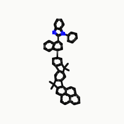 CC1(C)c2cc(-c3ccc(-c4nc5ccccc5n4-c4ccccc4)c4ccccc34)ccc2-c2cc3c(cc21)-c1c(cc2ccc4cccc5ccc1c2c45)C3(C)C